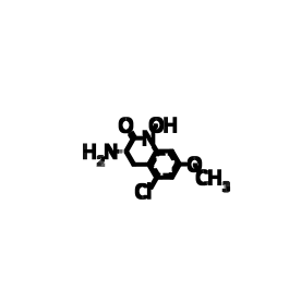 COc1cc(Cl)c2c(c1)N(O)C(=O)[C@@H](N)C2